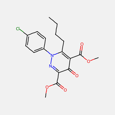 CCCCc1c(C(=O)OC)c(=O)c(C(=O)OC)nn1-c1ccc(Cl)cc1